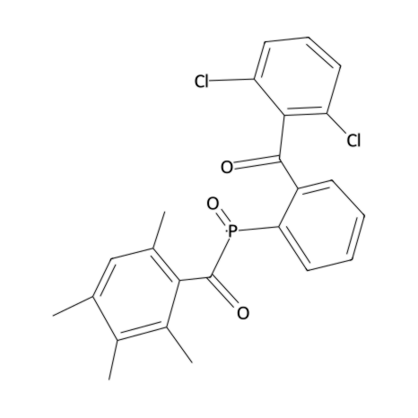 Cc1cc(C)c(C(=O)[P](=O)c2ccccc2C(=O)c2c(Cl)cccc2Cl)c(C)c1C